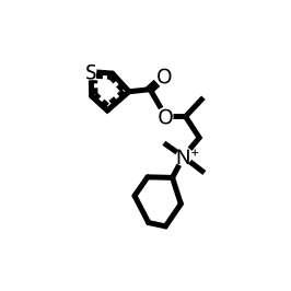 CC(C[N+](C)(C)C1CCCCC1)OC(=O)c1ccsc1